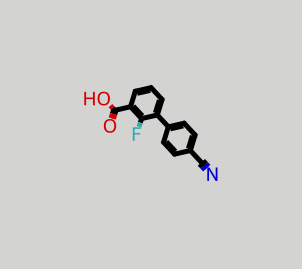 N#Cc1ccc(-c2cccc(C(=O)O)c2F)cc1